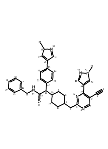 C#Cc1cnc(CC2CCC(C(C(=O)NCc3ccccc3)c3ccc(C4=CC(C)N=C4)cc3)CC2)nc1-c1cnn(C)c1